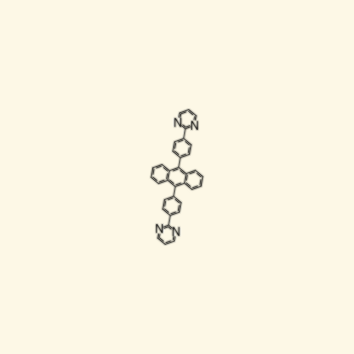 c1cnc(-c2ccc(-c3c4ccccc4c(-c4ccc(-c5ncccn5)cc4)c4ccccc34)cc2)nc1